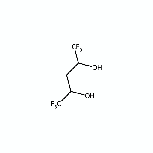 OC(CC(O)C(F)(F)F)C(F)(F)F